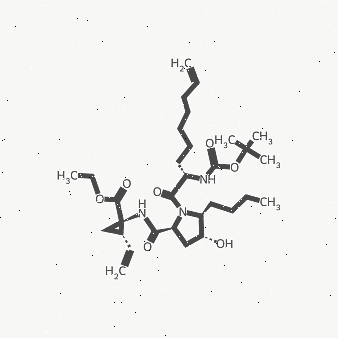 C=CCCCCC[C@H](NC(=O)OC(C)(C)C)C(=O)N1[C@H](C(=O)N[C@]2(C(=O)OCC)C[C@H]2C=C)C[C@@H](O)[C@@H]1CCCC